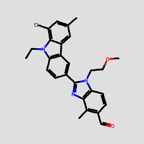 CCn1c2ccc(-c3nc4c(C)c(C=O)ccc4n3CCOC)cc2c2cc(C)cc(Cl)c21